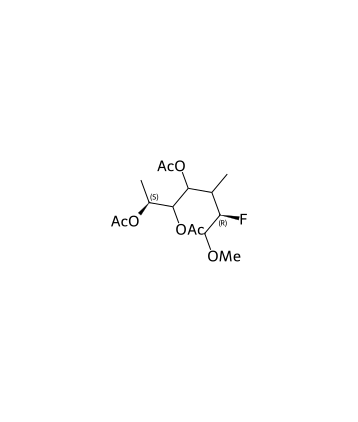 COC[C@H](F)C(C)C(OC(C)=O)C(OC(C)=O)[C@H](C)OC(C)=O